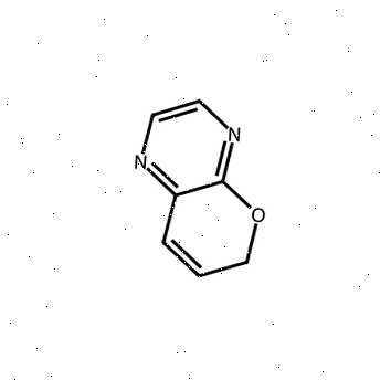 C1=Cc2nccnc2OC1